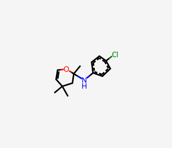 CC1(C)C=COC(C)(Nc2ccc(Cl)cc2)C1